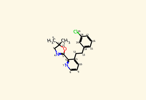 CC1(C)CN=C(c2ncccc2CCc2cccc(Cl)c2)O1